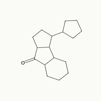 O=C1C2CCCCC2C2C1CCC2C1CCCC1